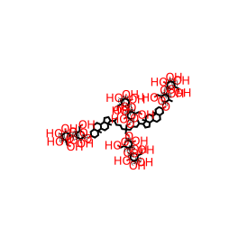 CC(CCCC(CCCC(C)C1CCC2C3CCC4CC(O[C@H]5OC(CO)[C@H](O[C@@H]6OC(CO)[C@H](O)[C@@H](O)C6O)[C@@H](O)C5O)CCC4(C)C3CCC12C)(CO[C@@H]1OC(CO)[C@@H](O[C@H]2OC(CO)[C@@H](O)[C@H](O)C2O)[C@H](O)C1O)CO[C@H]1OC(CO)[C@H](O[C@@H]2OC(CO)[C@H](O)[C@@H](O)C2O)[C@@H](O)C1O)C1CCC2C3CCC4CC(O[C@@H]5OC(CO)[C@@H](O[C@H]6OC(CO)[C@@H](O)[C@H](O)C6O)[C@H](O)C5C)CCC4(C)C3CCC12C